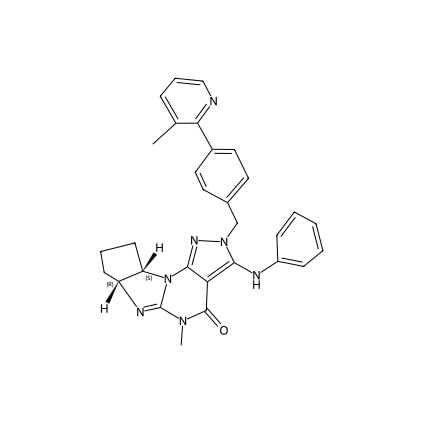 Cc1cccnc1-c1ccc(Cn2nc3c(c2Nc2ccccc2)C(=O)N(C)C2=N[C@@H]4CCC[C@@H]4N23)cc1